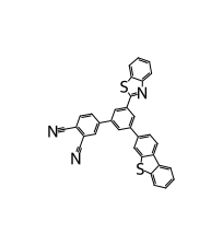 N#Cc1ccc(-c2cc(-c3ccc4c(c3)sc3ccccc34)cc(-c3nc4ccccc4s3)c2)cc1C#N